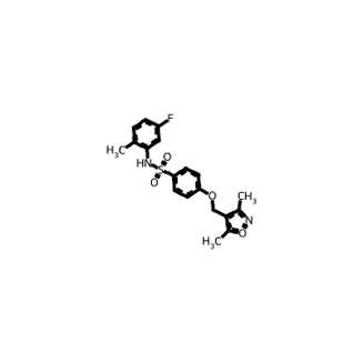 Cc1ccc(F)cc1NS(=O)(=O)c1ccc(OCc2c(C)noc2C)cc1